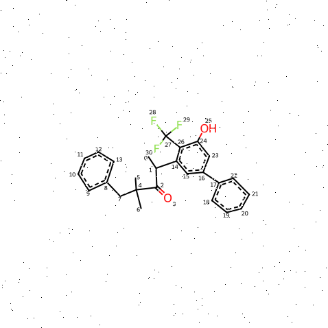 CC(C(=O)C(C)(C)Cc1ccccc1)c1cc(-c2ccccc2)cc(O)c1C(F)(F)F